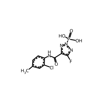 Cc1ccc(NC(=O)c2nn(P(=O)(O)O)nc2F)c(Cl)c1